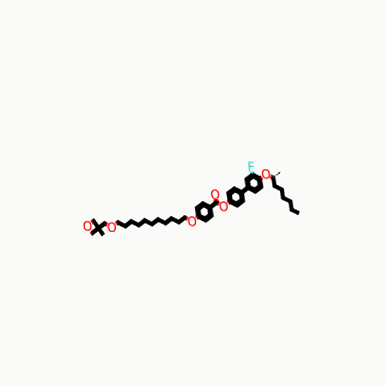 CCCCCC[C@@H](C)Oc1ccc(-c2ccc(OC(=O)c3ccc(OCCCCCCCCCCCOCC4(C)COC4)cc3)cc2)cc1F